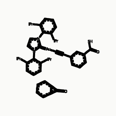 CC(C)c1cccc(C(C)C)c1-n1ccn(-c2c(C(C)C)cccc2C(C)C)[c]1=[Au][C]#Cc1cccc(C(=O)S)c1.O=c1c2ccccc12